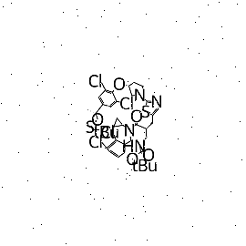 C[C@@H](O[Si](C)(C)C(C)(C)C)c1cc(Cl)c(O[C@@H]2CCN(c3ncc(C[C@@H](CNC(=O)OC(C)(C)C)C(=O)N(Cc4cccc(Cl)c4Cl)C4CC4)s3)C2)c(Cl)c1